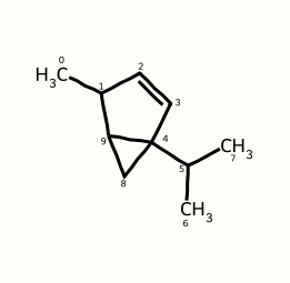 CC1C=CC2(C(C)C)CC12